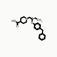 CC[C@H](CN1CCC(C(=O)O)CC1)Oc1ccc(Cc2ccccc2)cc1